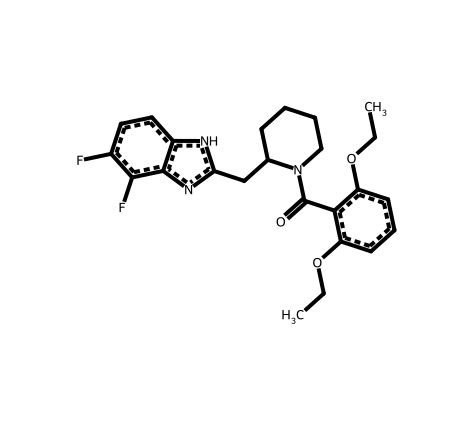 CCOc1cccc(OCC)c1C(=O)N1CCCCC1Cc1nc2c(F)c(F)ccc2[nH]1